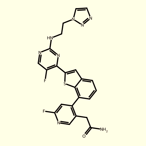 NC(=O)Cc1cnc(F)cc1-c1cccc2cc(-c3nc(NCCn4ccnn4)ncc3F)sc12